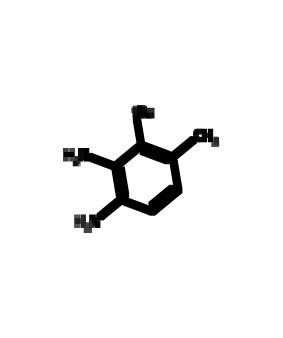 Cc1ccc(N)c(N)c1C(C)(C)C